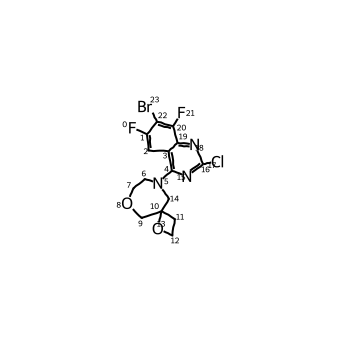 Fc1cc2c(N3CCOCC4(CCO4)C3)nc(Cl)nc2c(F)c1Br